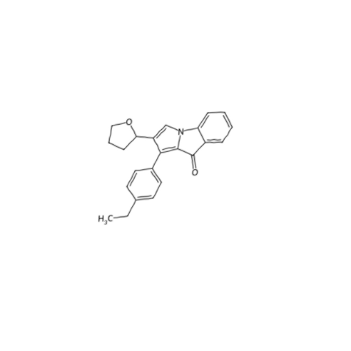 CCc1ccc(-c2c(C3CCCO3)cn3c2C(=O)c2ccccc2-3)cc1